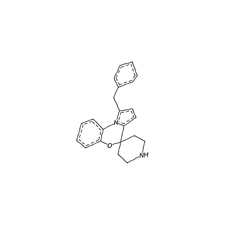 c1ccc(Cc2ccc3n2-c2ccccc2OC32CCNCC2)cc1